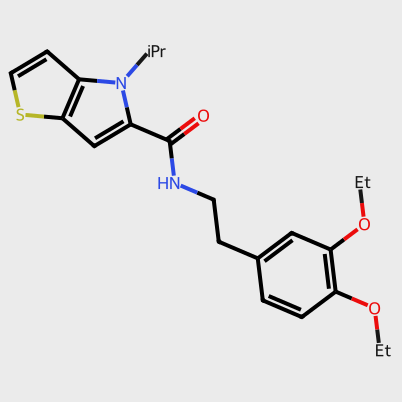 CCOc1ccc(CCNC(=O)c2cc3sccc3n2C(C)C)cc1OCC